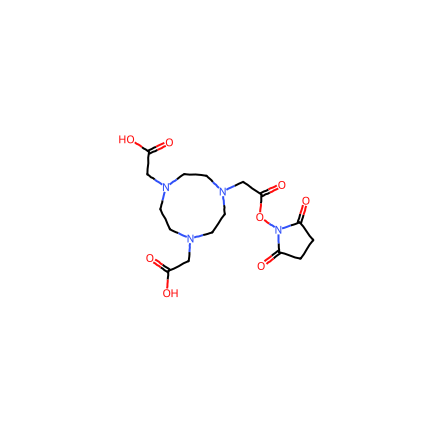 O=C(O)CN1CCN(CC(=O)O)CCN(CC(=O)ON2C(=O)CCC2=O)CC1